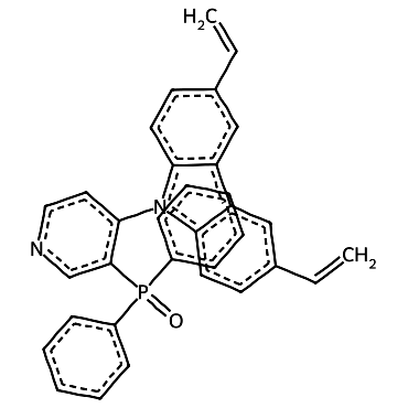 C=Cc1ccc2c(c1)c1cc(C=C)ccc1n2-c1ccncc1P(=O)(c1ccccc1)c1ccccc1